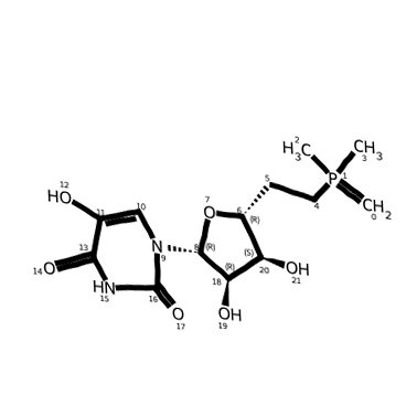 C=P(C)(C)CC[C@H]1O[C@@H](n2cc(O)c(=O)[nH]c2=O)[C@H](O)[C@@H]1O